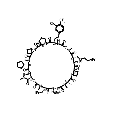 CCCN1C(=O)[C@@H]2CCN2C(=O)[C@H](C)N(C)C(=O)[C@H]([C@@H](C)CC)NC(=O)[C@H](CC(C)C)N(C)C(=O)C[C@@H](C(=O)N(C)C)N(C)C(=O)[C@H](C2CCCC2)N(C)C(=O)C2(CCC2)NC(=O)[C@@H]2CCCN2C(=O)[C@H](CCc2ccc(C(F)(F)F)c(Cl)c2)NC(=O)CN(C)C(=O)[C@@H]1COCCC(C)C